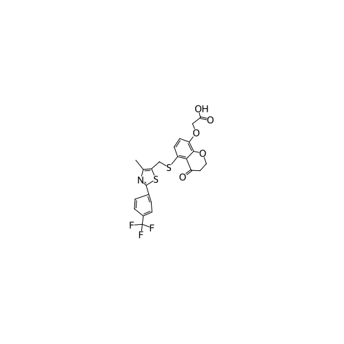 Cc1nc(-c2ccc(C(F)(F)F)cc2)sc1CSc1ccc(OCC(=O)O)c2c1C(=O)CCO2